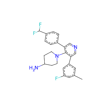 Cc1cc(F)cc(-c2cncc(-c3ccc(C(F)F)cc3)c2N2CCC(N)CC2)c1